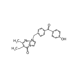 CCc1c(C)nc2n(Cc3ccc(C(=O)c4ccc(O)cc4)cc3)ccn2c1=O